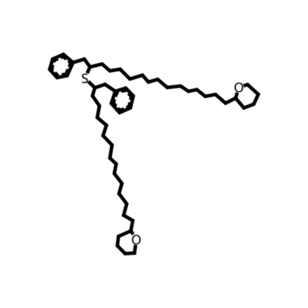 c1ccc(CC(CCCCCCCCCCCCCCC2CCCCO2)SC(CCCCCCCCCCCCCCC2CCCCO2)Cc2ccccc2)cc1